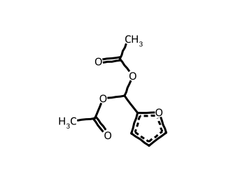 CC(=O)OC(OC(C)=O)c1ccco1